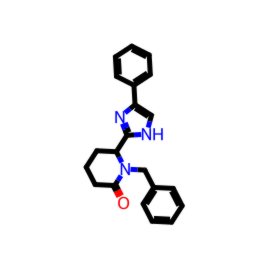 O=C1CCCC(c2nc(-c3ccccc3)c[nH]2)N1Cc1ccccc1